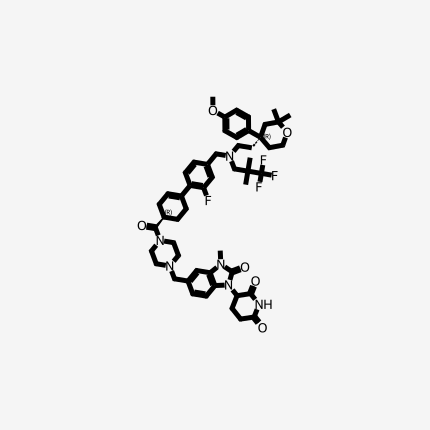 COc1ccc([C@]2(CCN(Cc3ccc(C4=CC[C@H](C(=O)N5CCN(Cc6ccc7c(c6)n(C)c(=O)n7C6CCC(=O)NC6=O)CC5)CC4)c(F)c3)CC(C)(C)C(F)(F)F)CCOC(C)(C)C2)cc1